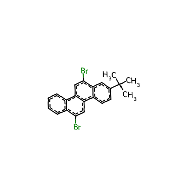 CC(C)(C)c1ccc2c(c1)c(Br)cc1c3ccccc3c(Br)cc21